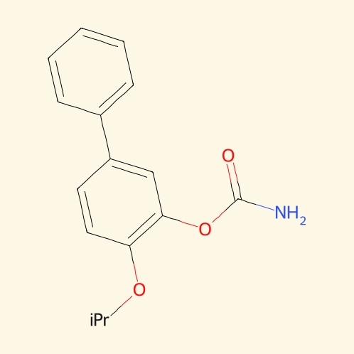 CC(C)Oc1ccc(-c2ccccc2)cc1OC(N)=O